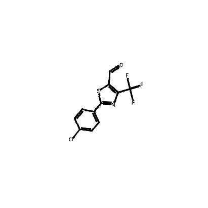 O=Cc1sc(-c2ccc(Cl)cc2)nc1C(F)(F)F